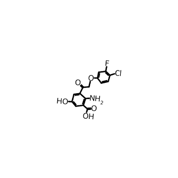 Nc1c(C(=O)O)cc(O)cc1C(=O)COc1ccc(Cl)c(F)c1